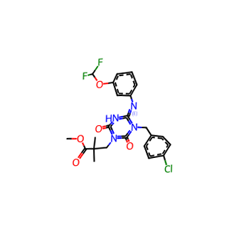 COC(=O)C(C)(C)Cn1c(=O)[nH]/c(=N\c2cccc(OC(F)F)c2)n(Cc2ccc(Cl)cc2)c1=O